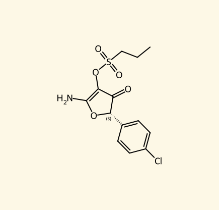 CCCS(=O)(=O)OC1=C(N)O[C@@H](c2ccc(Cl)cc2)C1=O